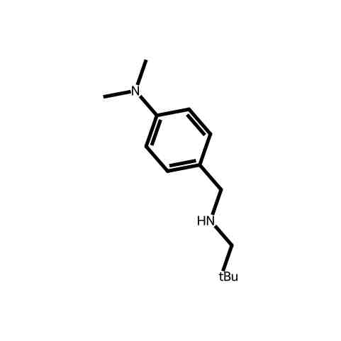 CN(C)c1ccc(CNCC(C)(C)C)cc1